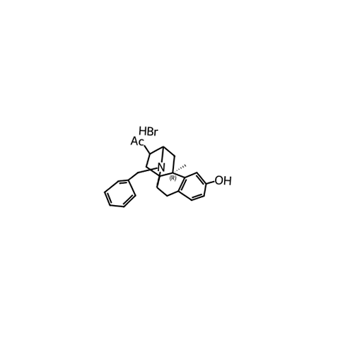 Br.CC(=O)C1CC2C3Cc4ccc(O)cc4[C@]2(C)CC1N3Cc1ccccc1